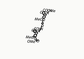 COCC1(COc2cc3c(cc2OC)-c2cc(=O)c(C(=O)O)cn2[C@H](C(C)(C)COCCOC2CC(COc4cc5c(cc4OC)-c4cc(=O)c(C(=O)O)cn4[C@H](C(C)(C)COC)C5)C2)C3)COC1